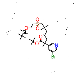 CC(C)(CCCC(C)(C(=O)OC(C)(C)C)c1cncc(Br)c1)CS(=O)(=O)CCO[Si](C)(C)C(C)(C)C